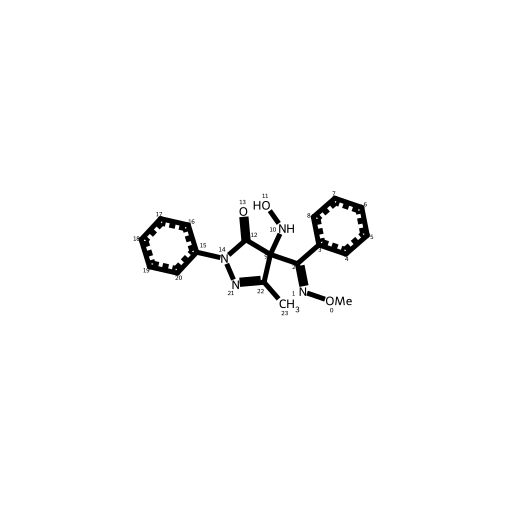 CO/N=C(\c1ccccc1)C1(NO)C(=O)N(c2ccccc2)N=C1C